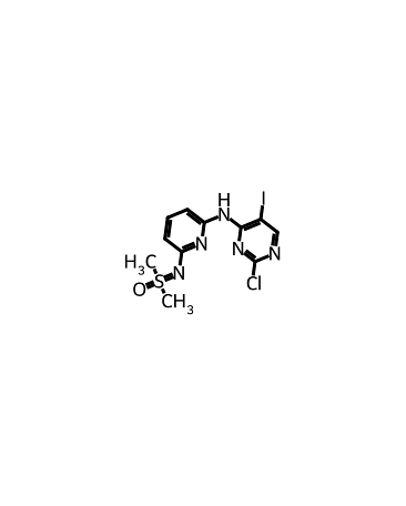 CS(C)(=O)=Nc1cccc(Nc2nc(Cl)ncc2I)n1